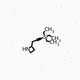 CC[Si](C#C[CH]C1CCN1)(CC)CC